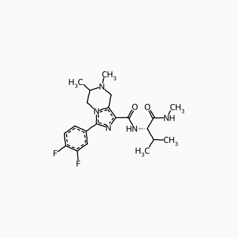 CNC(=O)[C@@H](NC(=O)c1nc(-c2ccc(F)c(F)c2)n2c1CN(C)C(C)C2)C(C)C